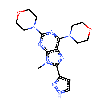 Cn1c(-c2cc[nH]n2)nc2c(N3CCOCC3)nc(N3CCOCC3)nc21